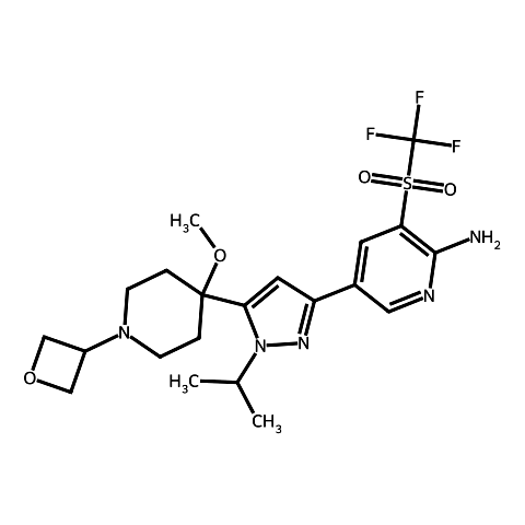 COC1(c2cc(-c3cnc(N)c(S(=O)(=O)C(F)(F)F)c3)nn2C(C)C)CCN(C2COC2)CC1